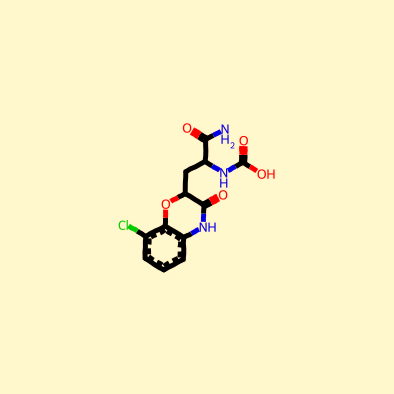 NC(=O)C(CC1Oc2c(Cl)cccc2NC1=O)NC(=O)O